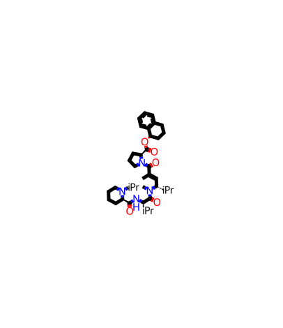 C/C(=C\[C@H](C(C)C)N(C)C(=O)[C@@H](NC(=O)[C@H]1CCCCN1C(C)C)C(C)C)C(=O)N1CCC[C@H]1C(=O)O[C@@H]1CCCc2ccccc21